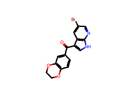 O=C(c1ccc2c(c1)OCCO2)c1c[nH]c2ncc(Br)cc12